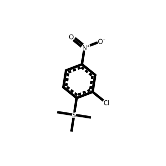 CS(C)(C)c1ccc([N+](=O)[O-])cc1Cl